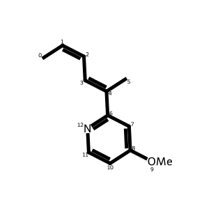 C/C=C\C=C(/C)c1cc(OC)ccn1